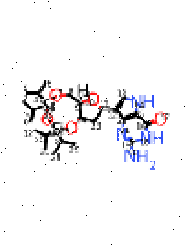 CC(C)[Si]1(C(C)C)OC[C@H]2O[C@@H](c3c[nH]c4c(=O)[nH]c(N)nc34)CC2O[Si](C(C)C)(C(C)C)O1